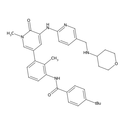 Cc1c(NC(=O)c2ccc(C(C)(C)C)cc2)cccc1-c1cc(Nc2ccc(CNC3CCOCC3)cn2)c(=O)n(C)c1